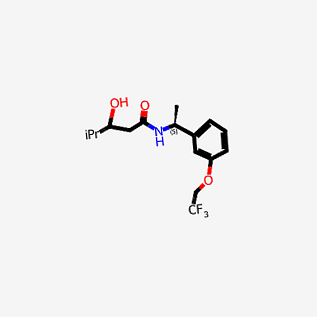 CC(C)C(O)CC(=O)N[C@@H](C)c1cccc(OCC(F)(F)F)c1